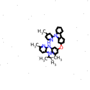 Cc1cc(Nc2nc(C)ccc2NC(C)C)cc(Oc2ccc3c4ccccc4n(-c4cc(C)ccn4)c3c2)c1